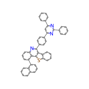 c1ccc(-c2cc(-c3ccc(-c4nc5cccc(-c6cccc7ccccc67)c5c5sc6ccccc6c45)cc3)nc(-c3ccccc3)n2)cc1